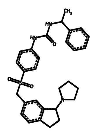 CC(NC(=O)Nc1ccc(S(=O)(=O)Cc2ccc3c(c2)C(N2CCCC2)CC3)cc1)c1ccccc1